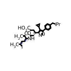 C=C(Cl)/C(=C\C=C(\C)I)NC(=O)C[C@H](CCC(=O)O)c1noc(-c2ccc(CC(C)C)cc2)c1C1CC1